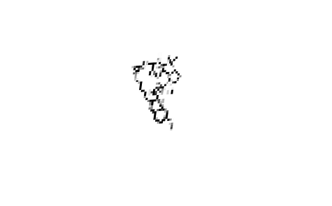 COc1ccc2nc(CCCCC[C@@H]3C[C@H]3OC(=O)N[C@H](C(=O)N3CCC[C@H]3C(=O)O)C(C)(C)C)c(O)nc2c1